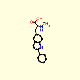 CNC(Cc1ccc2nc(-c3ccccc3)ccc2c1)C(=O)O